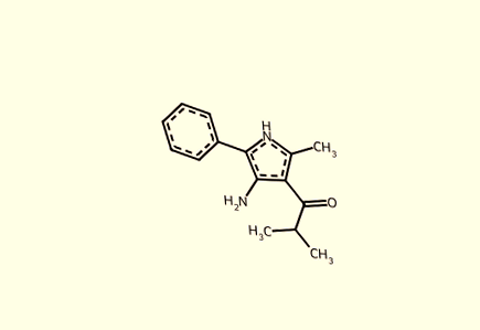 Cc1[nH]c(-c2ccccc2)c(N)c1C(=O)C(C)C